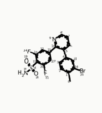 Cc1ccc(-c2cccnc2-c2cc(F)c(S(N)(=O)=O)c(F)c2)cc1Br